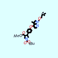 COC(=O)C1CN(C(=O)OC(C)(C)C)CC1c1ccc(Oc2ccnc3c2c(C)cn3COCC[Si](C)(C)C)cc1